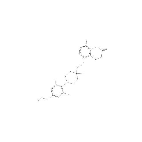 CCOc1cc(F)c(N2CCC(O)(COc3ccc(Cl)c4c3CCC(=O)N4)CC2)c(F)c1